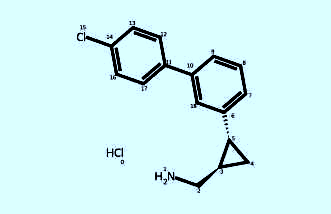 Cl.NC[C@@H]1C[C@H]1c1cccc(-c2ccc(Cl)cc2)c1